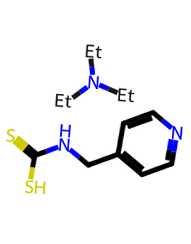 CCN(CC)CC.S=C(S)NCc1ccncc1